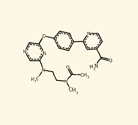 CC(=O)N(C)CCN(C)c1cncc(Oc2ccc(-c3cc(C(N)=O)ccn3)cc2)n1